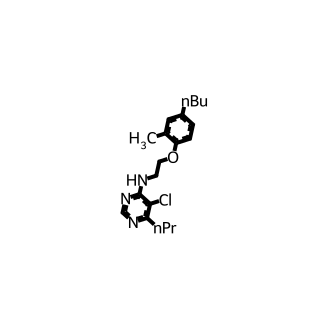 CCCCc1ccc(OCCNc2ncnc(CCC)c2Cl)c(C)c1